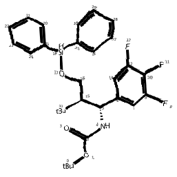 CC(C)(C)OC(=O)N[C@@H](c1cc(F)c(F)c(F)c1)[C@H](CO[SiH](c1ccccc1)c1ccccc1)C(C)(C)C